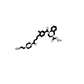 Cc1cc(C(=O)N2CCN(C(=O)OC(C)(C)C)Cc3ccccc32)ccc1CCCC(=O)N1CCN(CCC(C)(C)C)CC1